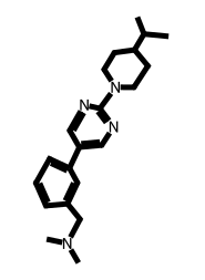 CC(C)C1CCN(c2ncc(-c3cccc(CN(C)C)c3)cn2)CC1